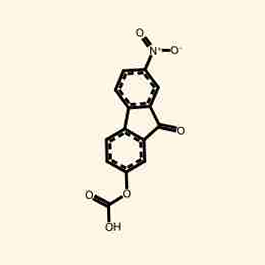 O=C(O)Oc1ccc2c(c1)C(=O)c1cc([N+](=O)[O-])ccc1-2